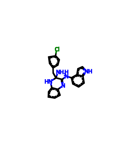 NC1(Cc2ccc(Cl)cc2)Nc2ccccc2N=C1Nc1cccc2[nH]ccc12